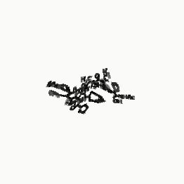 COC(=O)C(NC(=O)[C@@](NC(=O)C1CCCC1)(C(C)C)C(O)C(Cc1ccccc1)NC(=O)[C@H](C)NC(=O)[C@H](C)NC(=O)[C@H](CO)NC(C)=O)C(C)C